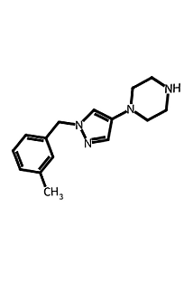 Cc1cccc(Cn2cc(N3CCNCC3)cn2)c1